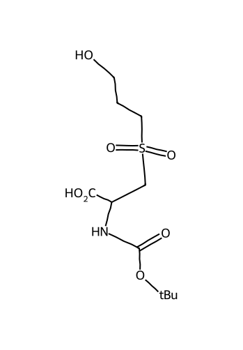 CC(C)(C)OC(=O)NC(CS(=O)(=O)CCCO)C(=O)O